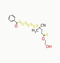 CC(C#N)(CCC(=S)OCCO)SSSSSSSC(=O)c1ccccc1